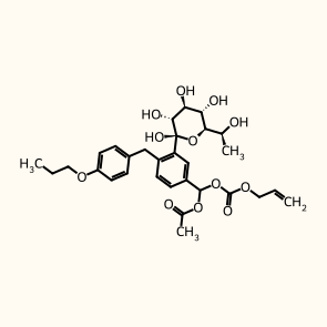 C=CCOC(=O)OC(OC(C)=O)c1ccc(Cc2ccc(OCCC)cc2)c([C@@]2(O)O[C@H]([C@H](C)O)[C@@H](O)[C@H](O)[C@H]2O)c1